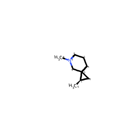 C[C@@H]1CC12CCCN(C)C2